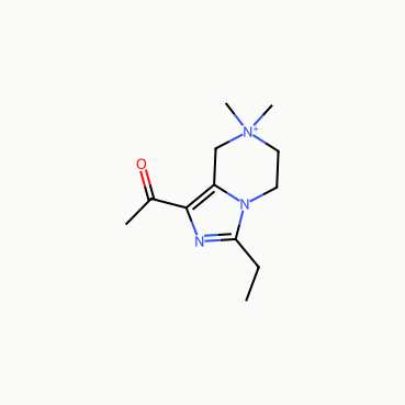 CCc1nc(C(C)=O)c2n1CC[N+](C)(C)C2